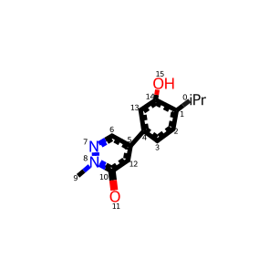 CC(C)c1ccc(-c2cnn(C)c(=O)c2)cc1O